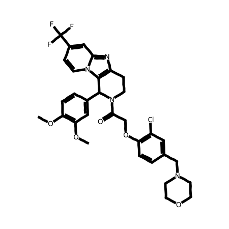 COc1ccc(C2c3c(nc4cc(C(F)(F)F)ccn34)CCN2C(=O)COc2ccc(CN3CCOCC3)cc2Cl)cc1OC